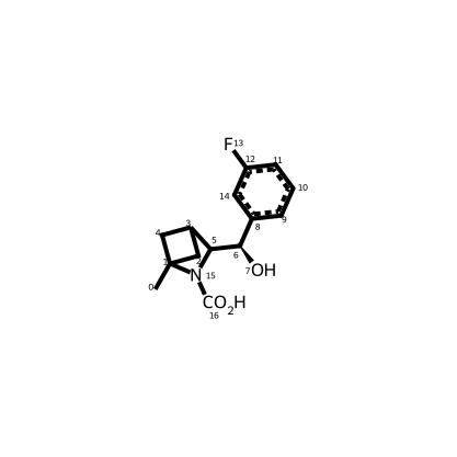 CC12CC(C1)C([C@H](O)c1cccc(F)c1)N2C(=O)O